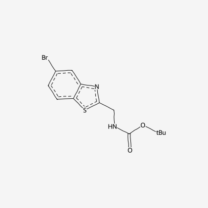 CC(C)(C)OC(=O)NCc1nc2cc(Br)ccc2s1